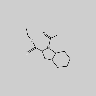 CCOC(=O)C1CC2CCCCC2N1C(C)=O